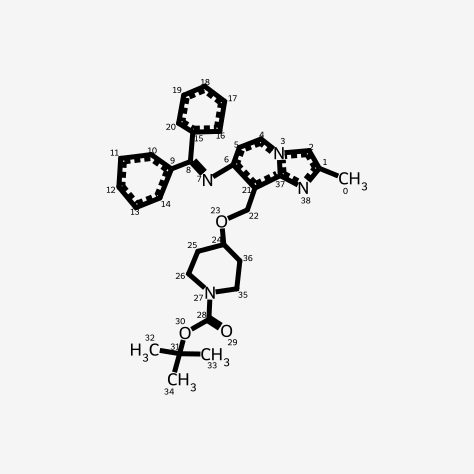 Cc1cn2ccc(N=C(c3ccccc3)c3ccccc3)c(COC3CCN(C(=O)OC(C)(C)C)CC3)c2n1